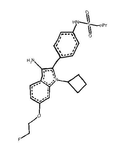 CCCS(=O)(=O)Nc1ccc(-c2c(N)c3ccc(OCCF)cc3n2C2CCC2)cc1